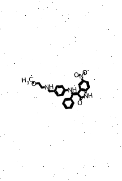 COCCNCc1ccc(NC(=C2C(=O)Nc3ccc([N+](=O)[O-])cc32)c2ccccc2)cc1